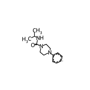 CC(C)NC(=O)N1CCN(c2cc[c]cc2)CC1